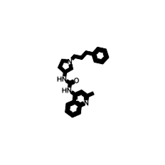 Cc1cc(NC(=O)NC2CCN(CCCc3ccccc3)C2)c2ccccc2n1